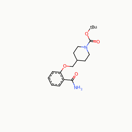 CC(C)(C)OC(=O)N1CCC(COc2ccccc2C(N)=O)CC1